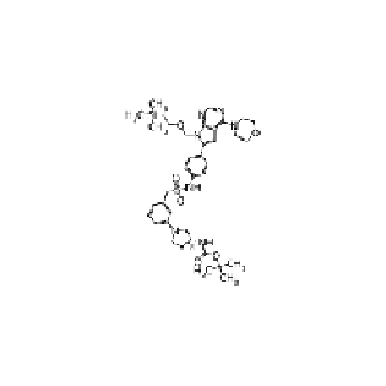 CC(C)(C)OC(=O)N[C@@H]1CCN(c2cccc(CS(=O)(=O)Nc3ccc(-c4cc5c(N6CCOCC6)ncnc5n4COCC[Si](C)(C)C)cc3)c2)C1